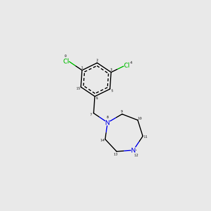 Clc1cc(Cl)cc(CN2CCC[N]CC2)c1